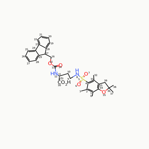 Cc1c(C)c(S(=O)(=O)NCC[C@H](NC(=O)OCC2c3ccccc3-c3ccccc32)C(=O)O)c(C)c2c1OC(C)(C)C2